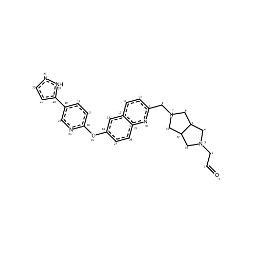 O=CCN1CC2CN(Cc3ccc4cc(Oc5ccc(-c6ccn[nH]6)cn5)ccc4n3)CC2C1